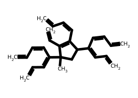 C=C/C=C\C1=C(C=C)C(C)(C(/C=C\C=C)=C/C=C)CC1C(/C=C\C=C)=C/C=C